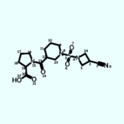 N#CC1CN(S(=O)(=O)N2CCCC(C(=O)N3CCCC3C(=O)O)C2)C1